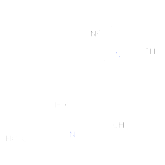 Cc1cc(C2CN(c3c(C)cccc3C#N)C2)cc(C)c1CN1CCC(C(=O)O)CC1